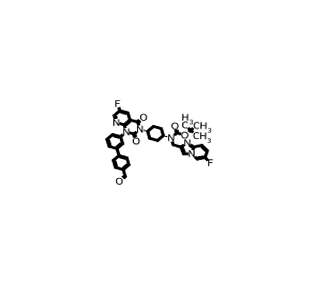 CC(C)(C)OC(=O)N(Cc1cn2cc(F)ccc2n1)[C@H]1CC[C@@H](n2c(=O)c3cc(F)cnc3n(-c3cccc(-c4ccc(C=O)cc4)c3)c2=O)CC1